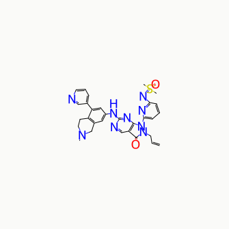 C=CCn1c(=O)c2cnc(Nc3cc4c(c(-c5cccnc5)c3)CCN(C)C4)nc2n1-c1cccc(N=S(C)(C)=O)n1